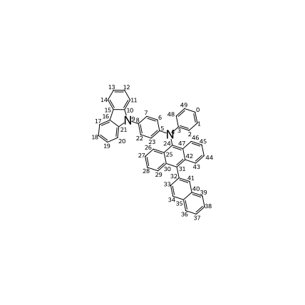 c1ccc(N(c2ccc(-n3c4ccccc4c4ccccc43)cc2)c2c3ccccc3c(-c3ccc4ccccc4c3)c3ccccc23)cc1